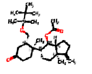 C=C1CC[C@H]2[C@H](OC(C)=O)[C@@H]([C@@]3(C)CCC(=O)C[C@@H]3CO[Si](C)(C)C(C)(C)C)CC[C@]12C